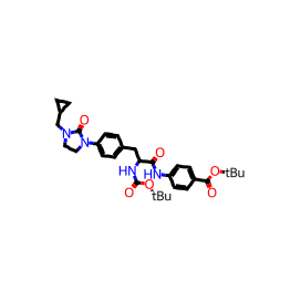 CC(C)(C)OC(=O)NC(Cc1ccc(N2CCN(CC3CC3)C2=O)cc1)C(=O)Nc1ccc(C(=O)OC(C)(C)C)cc1